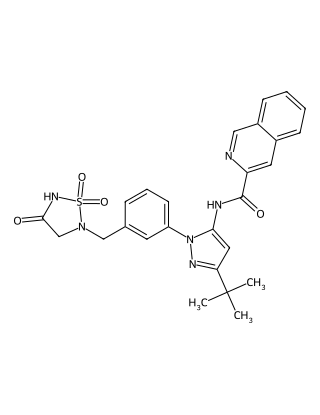 CC(C)(C)c1cc(NC(=O)c2cc3ccccc3cn2)n(-c2cccc(CN3CC(=O)NS3(=O)=O)c2)n1